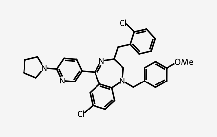 COc1ccc(CN2CC(Cc3ccccc3Cl)N=C(c3ccc(N4CCCC4)nc3)c3cc(Cl)ccc32)cc1